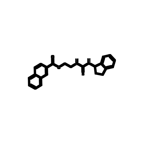 O=C(OCCNC(=S)NC1CCc2ccccc21)c1ccc2ccccc2c1